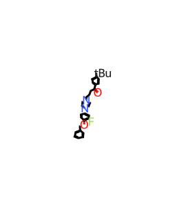 CC(C)(C)c1ccc(C(=O)CCCN2CCN(c3ccc(OCc4ccccc4)c(F)c3)CC2)cc1